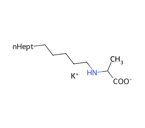 CCCCCCCCCCCCNC(C)C(=O)[O-].[K+]